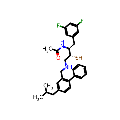 CC(=O)N[C@@H](Cc1cc(F)cc(F)c1)[C@H](S)CNCc1cc(CC(C)C)ccc1-c1ccccc1